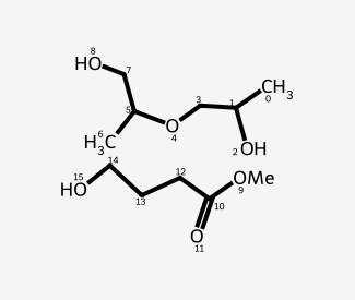 CC(O)COC(C)CO.COC(=O)CCCO